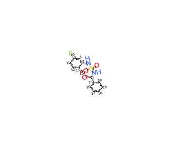 O=C(NS(=O)(=O)Nc1cc(F)ccc1Br)c1ccccc1